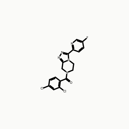 O=C(c1ccc(Cl)cc1Cl)N1CCn2c(nnc2-c2ccc(F)cn2)C1